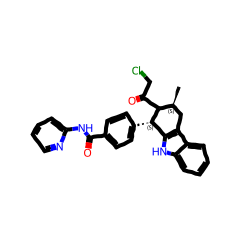 C[C@H]1Cc2c([nH]c3ccccc23)[C@H](c2ccc(C(=O)Nc3ccccn3)cc2)C1C(=O)CCl